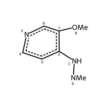 CNNc1ccncc1OC